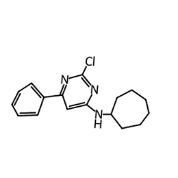 Clc1nc(NC2CCCCCC2)cc(-c2ccccc2)n1